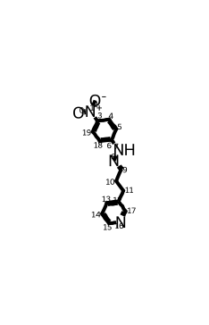 O=[N+]([O-])c1ccc(N/N=C/CCc2cccnc2)cc1